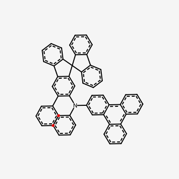 c1ccc(-c2cc3c(cc2N(c2ccccc2)c2ccc4c5ccccc5c5ccccc5c4c2)C2(c4ccccc4-c4ccccc42)c2ccccc2-3)cc1